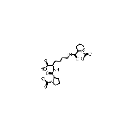 O=C(O)C(CCCCNC(=O)C1CCCN1C(=O)Cl)NC(=O)C1CCCN1C(=O)Cl